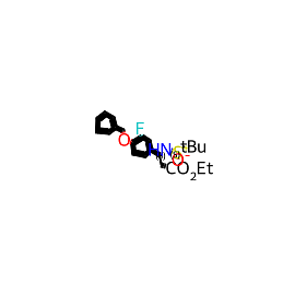 CCOC(=O)C[C@H](N[S@+]([O-])C(C)(C)C)c1ccc(OCc2ccccc2)c(F)c1